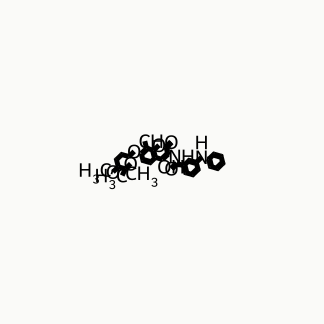 COC1CCC(Oc2ccc3c(O)c(NC(=O)c4cccc(Nc5ccccc5)c4)c(=O)oc3c2C)OC1(C)C